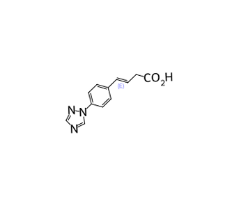 O=C(O)C/C=C/c1ccc(-n2cncn2)cc1